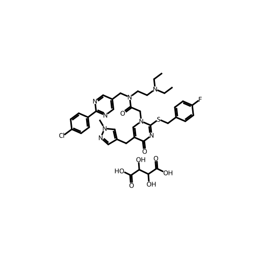 CCN(CC)CCN(Cc1cnc(-c2ccc(Cl)cc2)nc1)C(=O)Cn1cc(Cc2cnn(C)c2)c(=O)nc1SCc1ccc(F)cc1.O=C(O)C(O)C(O)C(=O)O